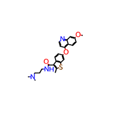 COc1ccc2c(Oc3ccc4c(C(=O)NCCCN(C)C)c(C)sc4c3)ccnc2c1